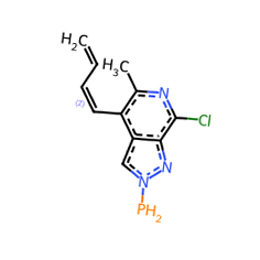 C=C/C=C\c1c(C)nc(Cl)c2nn(P)cc12